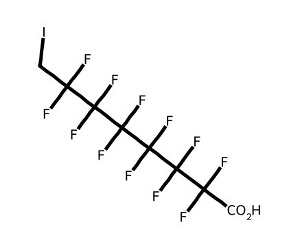 O=C(O)C(F)(F)C(F)(F)C(F)(F)C(F)(F)C(F)(F)C(F)(F)CI